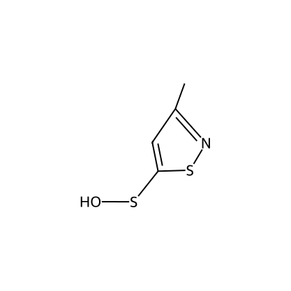 Cc1cc(SO)sn1